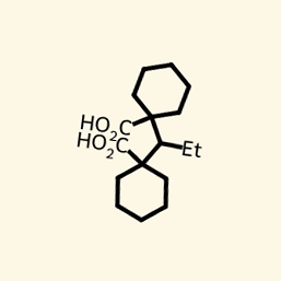 [CH2]CC(C1(C(=O)O)CCCCC1)C1(C(=O)O)CCCCC1